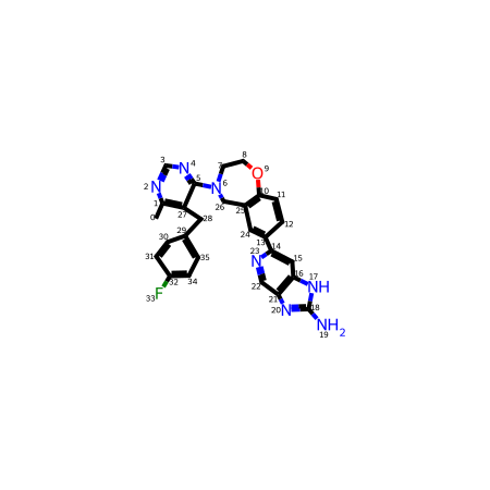 Cc1ncnc(N2CCOc3ccc(-c4cc5[nH]c(N)nc5cn4)cc3C2)c1Cc1ccc(F)cc1